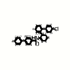 O=C(Nc1ccccc1-c1ccccc1-c1ccc(Cl)cc1)c1ccc(-c2ccccc2)cc1